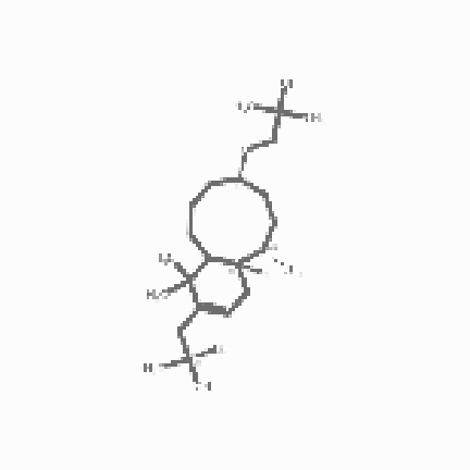 CC[C@](C)(O)CC1=CC[C@@H]2C(CCC[C@@H](OCC(C)(C)O)CC[C@@H]2C)C1(C)C